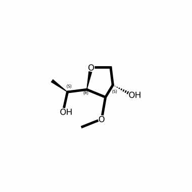 COC1[C@@H](O)CO[C@@H]1[C@H](C)O